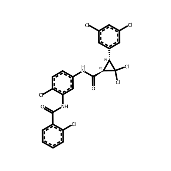 O=C(Nc1cc(NC(=O)[C@H]2[C@H](c3cc(Cl)cc(Cl)c3)C2(Cl)Cl)ccc1Cl)c1ccccc1Cl